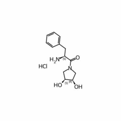 Cl.N[C@@H](Cc1ccccc1)C(=O)N1C[C@@H](O)[C@@H](O)C1